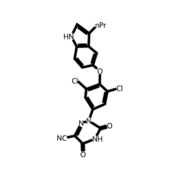 CCCc1c[nH]c2ccc(Oc3c(Cl)cc(-n4nc(C#N)c(=O)[nH]c4=O)cc3Cl)cc12